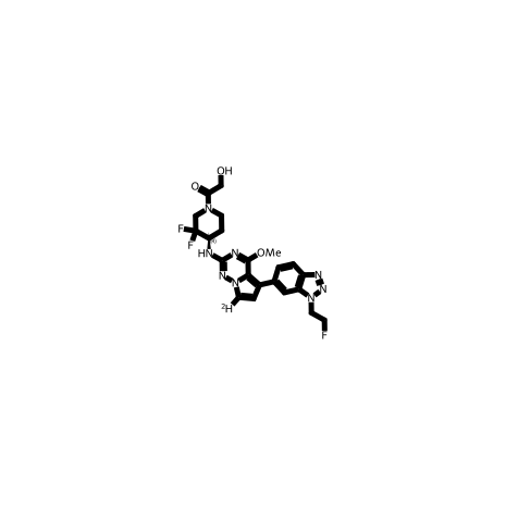 [2H]c1cc(-c2ccc3nnn(CCF)c3c2)c2c(OC)nc(N[C@@H]3CCN(C(=O)CO)CC3(F)F)nn12